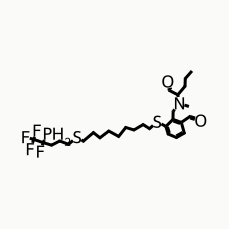 CCCC(C=O)N(C)Cc1c(C=O)cccc1SCCCCCCCCCSCCCC(F)(P)C(F)(F)F